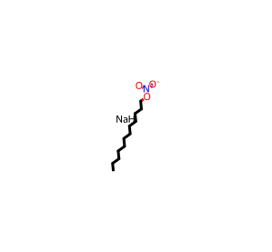 CCCCCCCCCCCCO[N+](=O)[O-].[NaH]